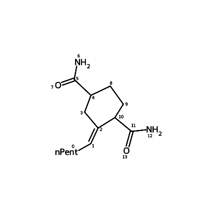 CCCCCC=C1CC(C(N)=O)CCC1C(N)=O